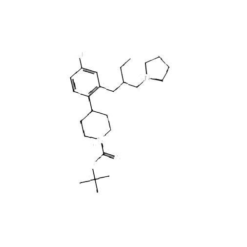 CCC(Cc1cc(Cl)ccc1C1CCN(C(=O)OC(C)(C)C)CC1)CN1CCCC1